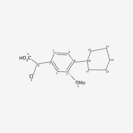 COc1cc(C(Cl)C(=O)O)ccc1C1CCCCC1